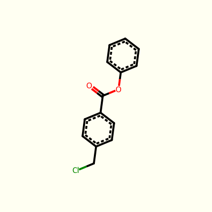 O=C(Oc1ccccc1)c1ccc(CCl)cc1